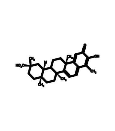 CC1=C(O)C(=O)C=C2C1=CC=C1[C@@]2(C)CCC2[C@@H]3C[C@](C)(C(=O)O)CC[C@]3(C)CC[C@]12C